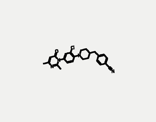 Cc1cc(=O)n(-c2ccc(N3CCC(Cc4ccc(C#N)cc4)CC3)c(Cl)c2)c(C)n1